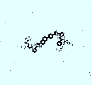 COC(=O)NCC(C)CC(=O)N1CCCC1c1ncc(-c2ccc3cc(-c4ccc(-c5cnc(C6CCCN6C(=O)C(NC(=O)OC)c6cccc(OC)c6)[nH]5)cc4)ccc3c2)[nH]1